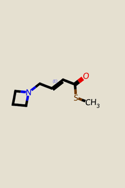 CSC(=O)/C=C/CN1CCC1